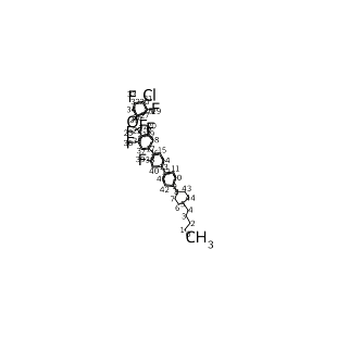 CCCCCC1CCC(c2ccc(-c3ccc(-c4cc(F)c(C(F)(F)Oc5cc(F)c(Cl)c(F)c5)c(F)c4)c(F)c3)cc2)CC1